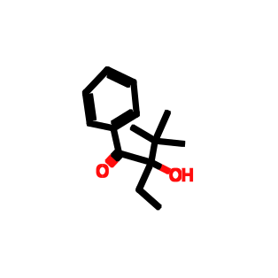 CCC(O)(C(=O)c1ccccc1)C(C)(C)C